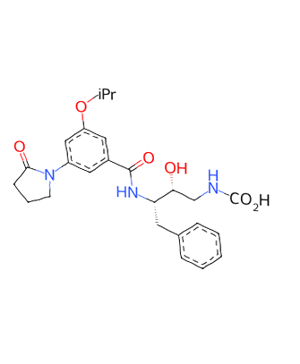 CC(C)Oc1cc(C(=O)N[C@@H](Cc2ccccc2)[C@H](O)CNC(=O)O)cc(N2CCCC2=O)c1